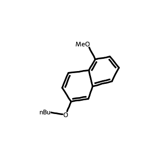 CCCCOc1ccc2c(OC)cccc2c1